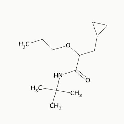 CCCOC(CC1CC1)C(=O)NC(C)(C)C